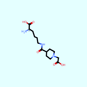 N[C@H](CCCCNC(=O)C1CCN(CC(=O)O)CC1)C(=O)O